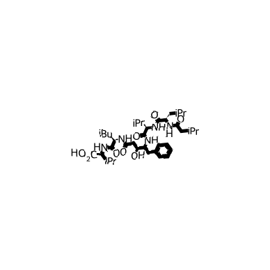 CC[C@H](C)[C@H](NC(=O)CC(O)C(Cc1ccccc1)NC(=O)[C@@H](NC(=O)[C@H](CC(C)C)NC(=O)CC(C)C)C(C)C)C(=O)N[C@H](C(=O)O)C(C)C